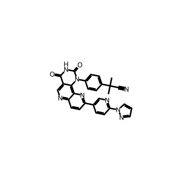 CC(C)(C#N)c1ccc(-n2c(=O)[nH]c(=O)c3cnc4ccc(-c5ccc(-n6cccn6)nc5)nc4c32)cc1